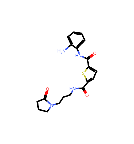 Nc1ccccc1NC(=O)c1ccc(C(=O)NCCCN2CCCC2=O)s1